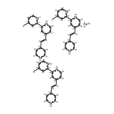 Cc1ccnc(-c2cc(C=Cc3ccncc3)ccn2)c1.Cc1ccnc(-c2cc(C=Cc3ccncc3)ccn2)c1.Cc1ccnc(-c2cc(C=Cc3ccncc3)ccn2)c1.[Fe+3]